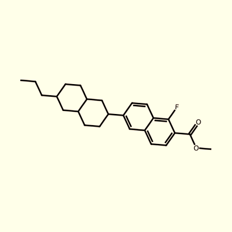 CCCC1CCC2CC(c3ccc4c(F)c(C(=O)OC)ccc4c3)CCC2C1